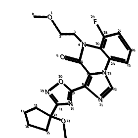 COCCn1c(=O)c2c(-c3nc(C4(OC)CCCC4)no3)ncn2c2cccc(F)c21